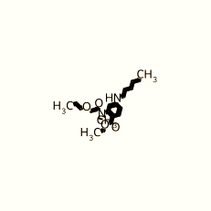 CCCCCCNc1ccc(C(=O)OCC)c(N(C)C(=O)COCCC)c1